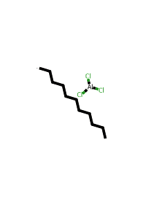 [CH2]CCCCCCCCCC.[Cl][Al]([Cl])[Cl]